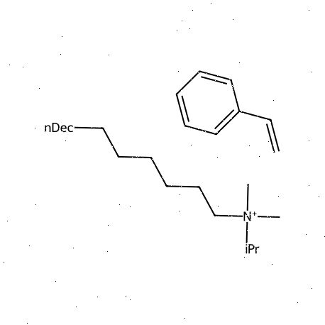 C=Cc1ccccc1.CCCCCCCCCCCCCCCC[N+](C)(C)C(C)C